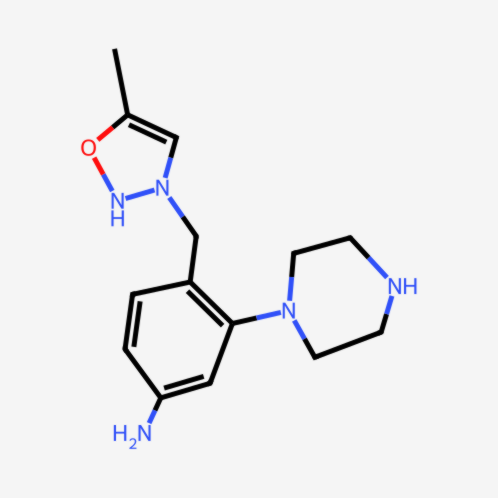 CC1=CN(Cc2ccc(N)cc2N2CCNCC2)NO1